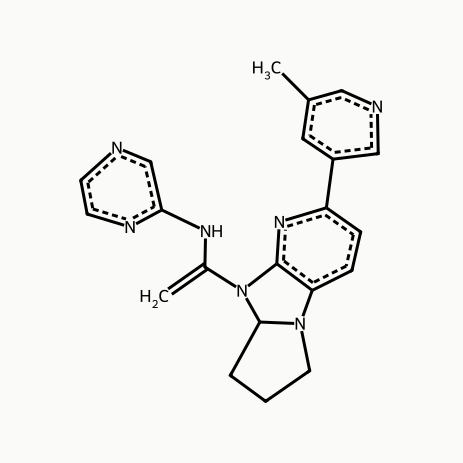 C=C(Nc1cnccn1)N1c2nc(-c3cncc(C)c3)ccc2N2CCCC21